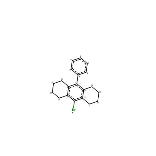 Brc1c2c(c(-c3ccccc3)c3c1CCCC3)CCCC2